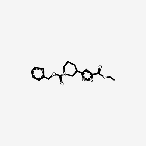 CCOC(=O)c1cc(C2CCCN(C(=O)OCc3ccccc3)C2)ns1